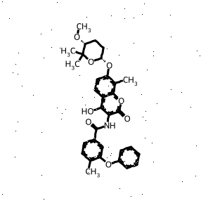 CO[C@@H]1CC[C@H](Oc2ccc3c(O)c(NC(=O)c4ccc(C)c(Oc5ccccc5)c4)c(=O)oc3c2C)OC1(C)C